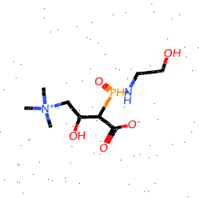 C[N+](C)(C)CC(O)C(C(=O)[O-])[PH](=O)NCCO